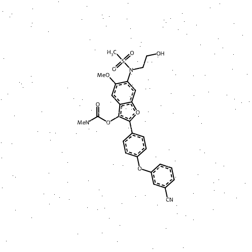 CNC(=O)Oc1c(-c2ccc(Oc3cccc(C#N)c3)cc2)oc2cc(N(CCO)S(C)(=O)=O)c(OC)cc12